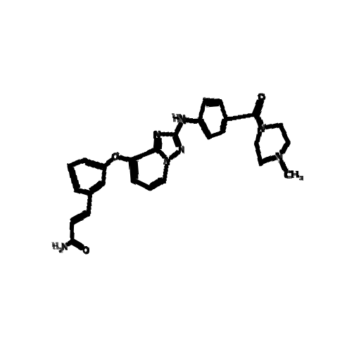 CN1CCN(C(=O)c2ccc(Nc3nc4c(Oc5cccc(C=CC(N)=O)c5)cccn4n3)cc2)CC1